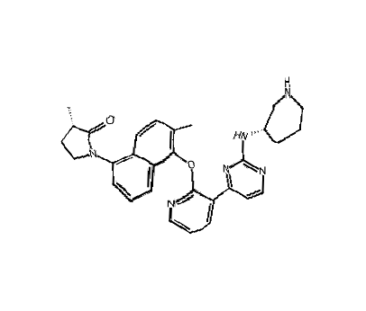 Cc1ccc2c(N3CC[C@H](C)C3=O)cccc2c1Oc1ncccc1-c1ccnc(N[C@H]2CCCNC2)n1